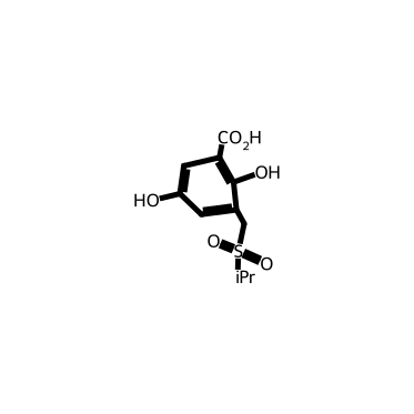 CC(C)S(=O)(=O)Cc1cc(O)cc(C(=O)O)c1O